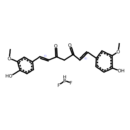 COc1cc(/C=C/C(=O)CC(=O)/C=C/c2ccc(O)c(OC)c2)ccc1O.FBF